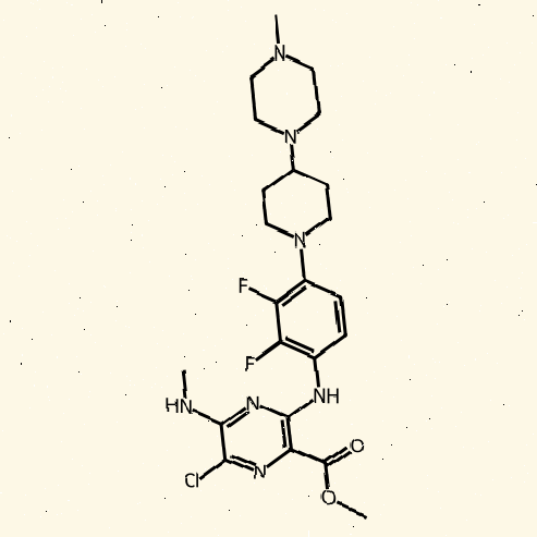 CNc1nc(Nc2ccc(N3CCC(N4CCN(C)CC4)CC3)c(F)c2F)c(C(=O)OC)nc1Cl